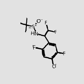 CC(C)(C)[S@@+]([O-])NC(c1cc(F)c(Cl)cc1F)C(F)F